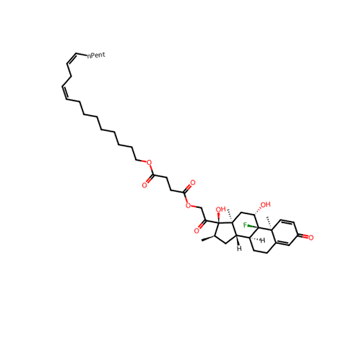 CCCCC/C=C\C/C=C\CCCCCCCCOC(=O)CCC(=O)OCC(=O)[C@@]1(O)[C@H](C)C[C@H]2[C@@H]3CCC4=CC(=O)C=C[C@]4(C)[C@@]3(F)[C@@H](O)C[C@@]21C